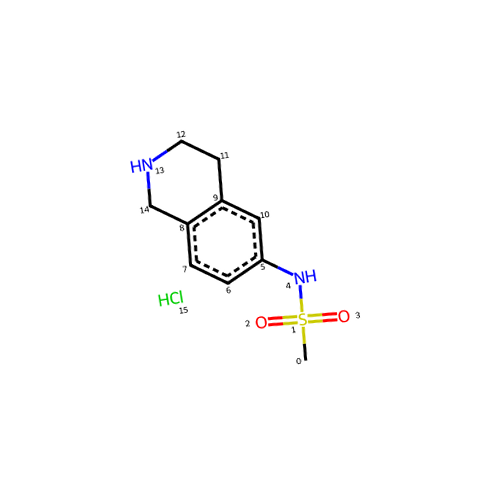 CS(=O)(=O)Nc1ccc2c(c1)CCNC2.Cl